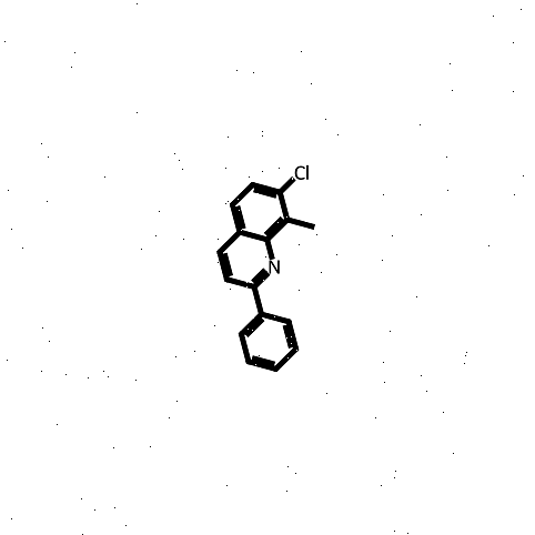 Cc1c(Cl)ccc2ccc(-c3ccccc3)nc12